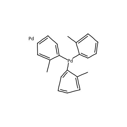 Cc1cccc[c]1[Pd]([c]1ccccc1C)[c]1ccccc1C.[Pd]